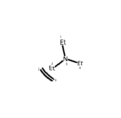 C=C.CCN(CC)CC